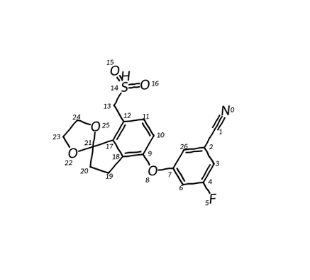 N#Cc1cc(F)cc(Oc2ccc(C[SH](=O)=O)c3c2CCC32OCCO2)c1